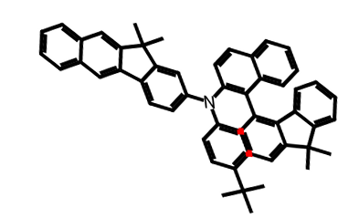 CC(C)(C)c1ccc(N(c2ccc3c(c2)C(C)(C)c2cc4ccccc4cc2-3)c2ccc3ccccc3c2-c2cccc3c2-c2ccccc2C3(C)C)cc1